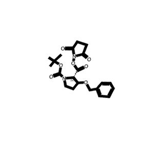 CC(C)(C)OC(=O)N1CCC(OCc2ccccc2)[C@H]1C(=O)ON1C(=O)CCC1=O